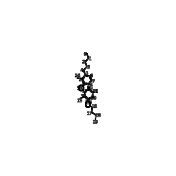 CCCCCc1ccc2c(oc3c(C)c(OCCCC)ccc32)c1C